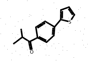 CC(C)C(=O)c1ccc(-c2cccs2)cc1